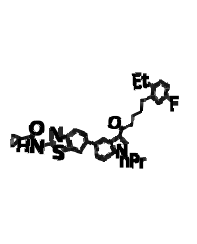 CCCn1cc(C(=O)CCCCc2cc(F)ccc2CC)c2cc(-c3ccc4nc(NC(=O)C5CC5)sc4c3)ccc21